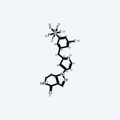 O=C1NCCc2c1cnn2-c1ccnc(Cc2cc(F)cc(S(F)(F)(F)(F)F)c2)c1